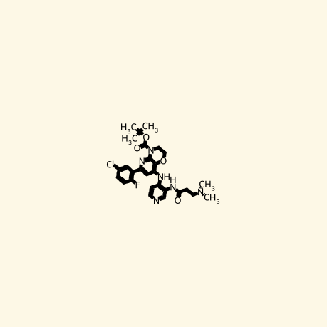 CN(C)CCC(=O)Nc1cnccc1Nc1cc(-c2cc(Cl)ccc2F)nc2c1OCCN2C(=O)OC(C)(C)C